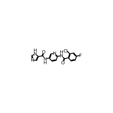 O=C(Nc1ccc(NC(=O)c2ccc(F)cc2Cl)nc1)c1cnc[nH]1